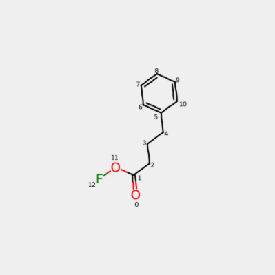 O=C(CCCc1ccccc1)OF